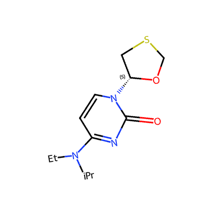 CCN(c1ccn([C@@H]2CSCO2)c(=O)n1)C(C)C